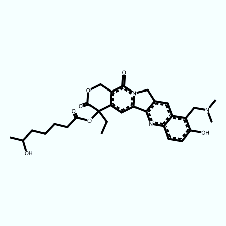 CCC1(OC(=O)CCCCC(C)O)C(=O)OCc2c1cc1n(c2=O)Cc2cc3c(CN(C)C)c(O)ccc3nc2-1